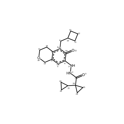 O=C(NNc1nc2c(n(CC3CCC3)c1=O)CCOC2)C1(C2CC2)CC1